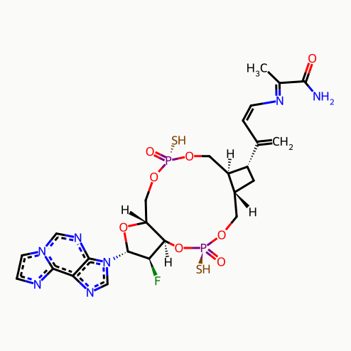 C=C(/C=C\N=C(/C)C(N)=O)[C@@H]1C[C@@H]2CO[P@@](=O)(S)O[C@H]3[C@@H](F)[C@H](n4cnc5c4ncn4ccnc54)O[C@@H]3CO[P@](=O)(S)OC[C@H]21